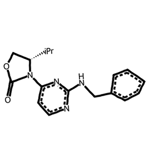 CC(C)[C@H]1COC(=O)N1c1ccnc(NCc2ccccc2)n1